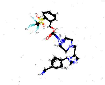 Cc1ncc(CN2CCN(C(=O)OCc3ccccc3S(=O)(=O)C(F)(F)F)CC2)n1Cc1ccc(C#N)cc1